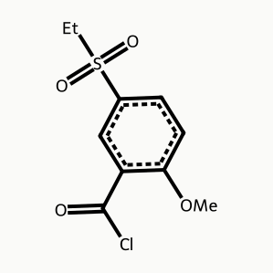 CCS(=O)(=O)c1ccc(OC)c(C(=O)Cl)c1